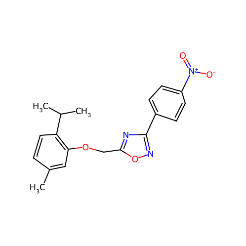 Cc1ccc(C(C)C)c(OCc2nc(-c3ccc([N+](=O)[O-])cc3)no2)c1